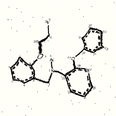 CC(=O)N(Cc1ccccc1OCC[18F])c1cccnc1Oc1ccccc1